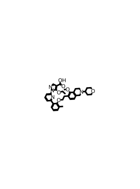 CCOc1c(C(=O)O)cnn1-c1cccc(-c2cccc(C)c2OCCc2ccc3c(c2OC)CCN(C2CCOCC2)C3)n1